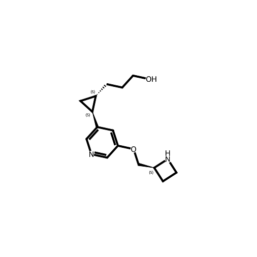 OCCC[C@H]1C[C@@H]1c1cncc(OC[C@@H]2CCN2)c1